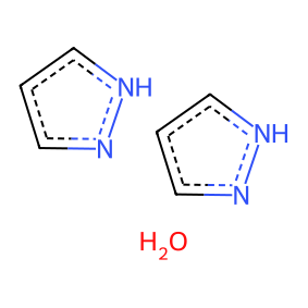 O.c1cn[nH]c1.c1cn[nH]c1